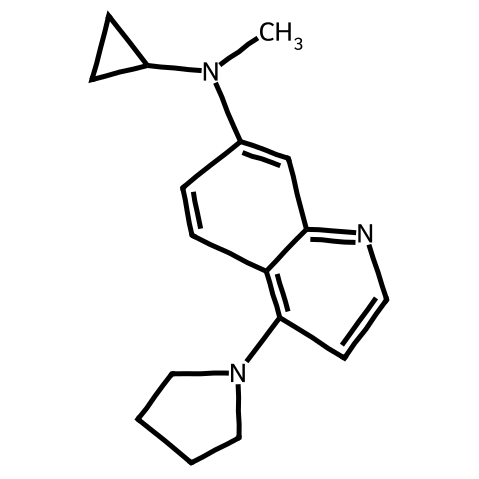 CN(c1ccc2c(N3CCCC3)ccnc2c1)C1CC1